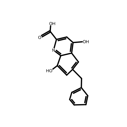 O=C(O)c1cc(O)c2cc(Cc3ccccc3)cc(O)c2n1